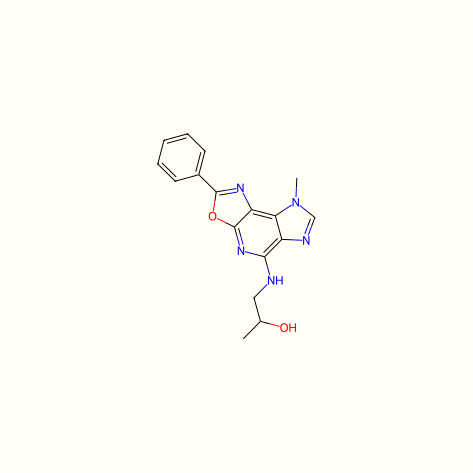 CC(O)CNc1nc2oc(-c3ccccc3)nc2c2c1ncn2C